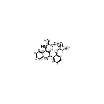 CC(C)CC(C)Oc1ccccc1-c1cc(NC(=N)NC=O)c2ccccc2n1